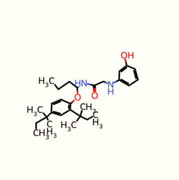 CCCC(NC(=O)CNc1cccc(O)c1)Oc1ccc(C(C)(C)CC)cc1C(C)(C)CC